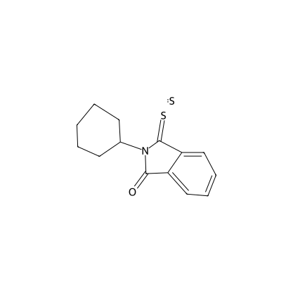 O=C1c2ccccc2C(=S)N1C1CCCCC1.[S]